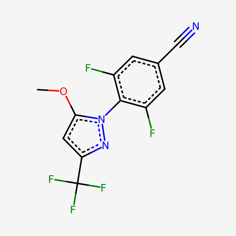 COc1cc(C(F)(F)F)nn1-c1c(F)cc(C#N)cc1F